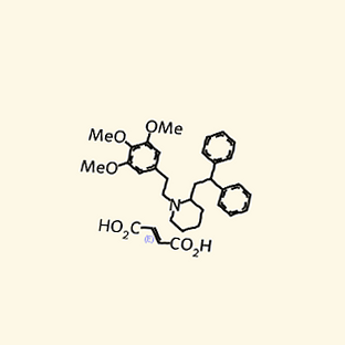 COc1cc(CCN2CCCCC2CC(c2ccccc2)c2ccccc2)cc(OC)c1OC.O=C(O)/C=C/C(=O)O